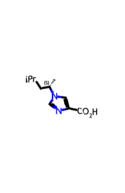 CC(C)C[C@H](C)n1cnc(C(=O)O)c1